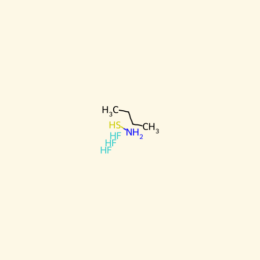 CCCC.F.F.F.NS